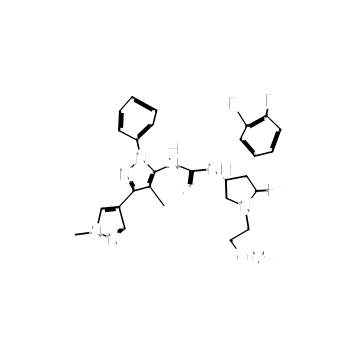 CCC1[C@@H](c2ccc(F)c(F)c2)[C@H](NC(=O)Nc2c(C)c(-c3cnn(C)c3)nn2-c2ccccc2)CN1CCOC